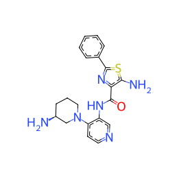 Nc1sc(-c2ccccc2)nc1C(=O)Nc1cnccc1N1CCC[C@H](N)C1